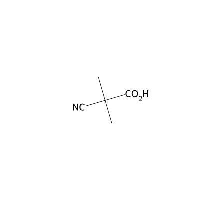 CC(C)(C#N)C(=O)O